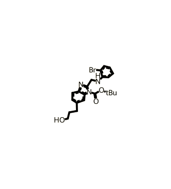 CC(C)(C)OC(=O)n1c(CNc2ccccc2Br)nc2ccc(CCCO)cc21